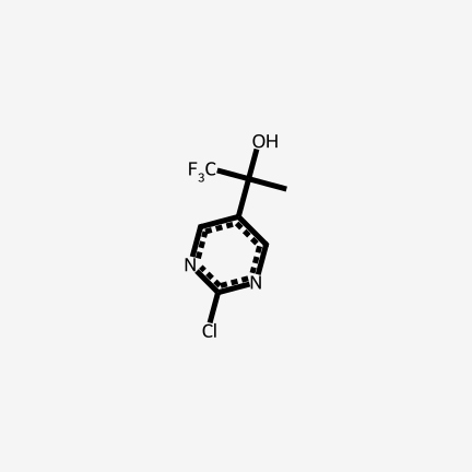 CC(O)(c1cnc(Cl)nc1)C(F)(F)F